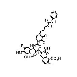 O=C(NCCCN1CCN(C(=O)NC(C(=O)N[C@H]2Cc3ccc(F)c(C(=O)O)c3OB2O)c2cc(F)c(O)c(O)c2Cl)C(=O)C1=O)Nc1ccncc1